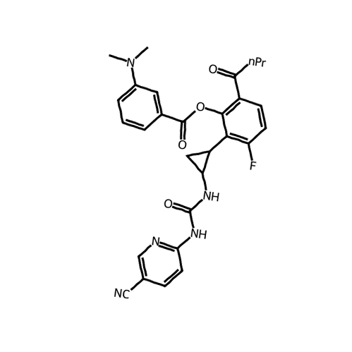 CCCC(=O)c1ccc(F)c(C2CC2NC(=O)Nc2ccc(C#N)cn2)c1OC(=O)c1cccc(N(C)C)c1